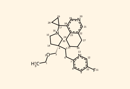 CCOC[C@]1(CCc2ccc(F)cn2)CCN(C2(c3cncc4c3CCCC4)CC2)C1